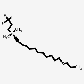 CCCSCCCCCCCCCCC#C[Si](C)(C)CCC(F)(F)F